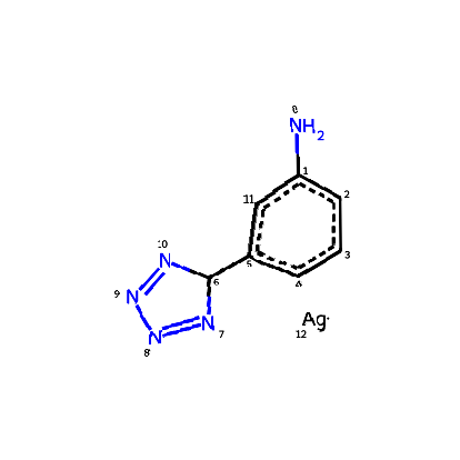 Nc1cccc(C2N=NN=N2)c1.[Ag]